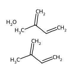 C=CC(=C)C.C=CC(=C)C.O